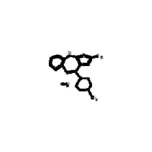 Cc1cc2c(s1)Nc1ccccc1N=C2N1CCN(C)CC1.[PbH2]